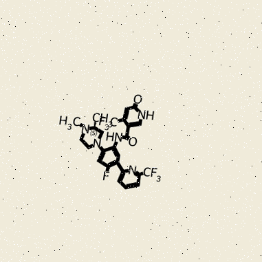 C[C@H]1CN(c2cc(F)c(-c3cccc(C(F)(F)F)n3)cc2NC(=O)c2c[nH]c(=O)cc2C(F)(F)F)CCN1C